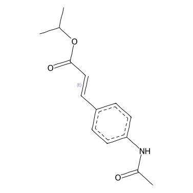 CC(=O)Nc1ccc(/C=C/C(=O)OC(C)C)cc1